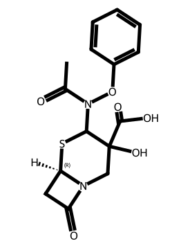 CC(=O)N(Oc1ccccc1)C1S[C@@H]2CC(=O)N2CC1(O)C(=O)O